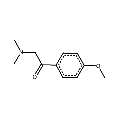 COc1ccc(C(=O)CN(C)C)cc1